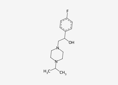 CC(C)N1CCN(CC(O)c2ccc(F)cc2)CC1